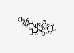 O=c1nc2n(Cc3cnc(Cl)s3)cccc-2c(=O)n1C1CCCCC1